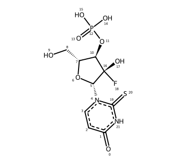 O=c1ccn([C@@H]2O[C@H](CO)[C@@H](OP(=O)(O)O)[C@]2(O)F)c(=S)[nH]1